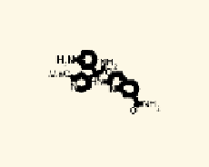 COc1cc(C(Nc2ccc3ccc(C(N)=O)cc3n2)(C(N)=O)c2cccc(N)c2)ccn1